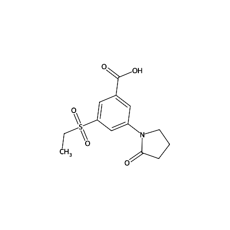 CCS(=O)(=O)c1cc(C(=O)O)cc(N2CCCC2=O)c1